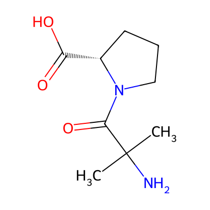 CC(C)(N)C(=O)N1CCC[C@H]1C(=O)O